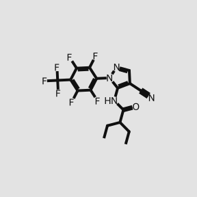 CCC(CC)C(=O)Nc1c(C#N)cnn1-c1c(F)c(F)c(C(F)(F)F)c(F)c1F